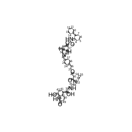 O=C(Nc1ccccc1-c1ccccc1)O[C@H]1C[C@@H]2CN(Cc3ccc(CCOCCC(=O)N(CCNC[C@H](O)c4ccc(O)c5[nH]c(=O)ccc45)CC4CC4)cc3)C[C@@H]2C1